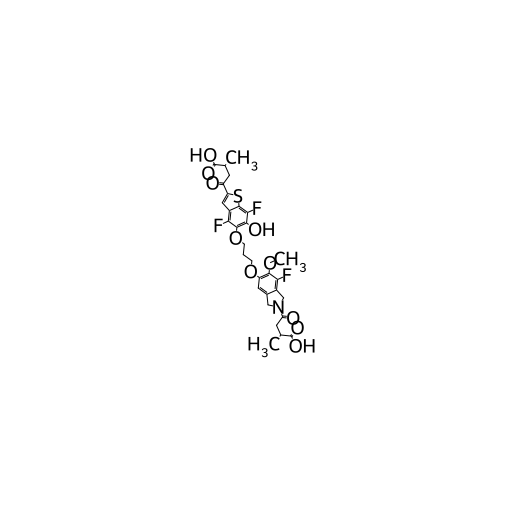 COc1c(OCCCOc2c(O)c(F)c3sc(C(=O)CC(C)C(=O)O)cc3c2F)cc2c(c1F)CN(C(=O)CC(C)C(=O)O)C2